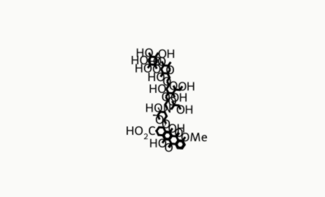 COc1cccc2c1C(=O)c1c(O)c3c(c(O)c1C2=O)C[C@@H](C(=O)O)C[C@@H]3OC1C[C@H](N2CC(CO)OC(OC3C(O)C(CO)OC(OCC4OC(C)C(O)C(OC5OC(CO)C(O)C(O)C5O)C4O)C3O)C2)[C@H](O)[C@H](C)O1